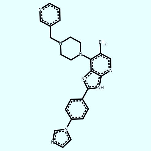 Bc1cnc2[nH]c(-c3ccc(-n4ccnc4)cc3)nc2c1N1CCN(Cc2cccnc2)CC1